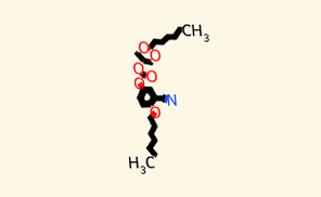 CCCCCCCOc1ccc(OC(=O)OC2COC(CCCCCC)OC2)cc1C#N